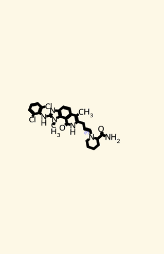 Cc1c(C/C=C/N2CCCCC2C(N)=O)[nH]c(=O)c2c1ccc1nc(Nc3c(Cl)cccc3Cl)n(C)c12